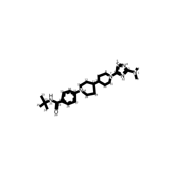 CN(C)c1nsc(N2CCC(C3CCN(c4ccc(C(=O)NC(C)(C)C)cc4)CC3)CC2)n1